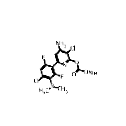 COC(=O)Oc1nc(-c2c(F)cc(Cl)c(N(C)C)c2F)cc(N)c1Cl